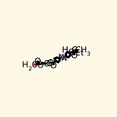 C=CC(=O)OCCCCOC(=O)c1ccc(/N=N/c2ccc(OC(=O)C(C)(C)CC)cc2)cc1